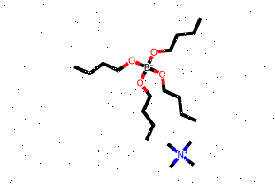 CCCCO[B-](OCCCC)(OCCCC)OCCCC.C[N+](C)(C)C